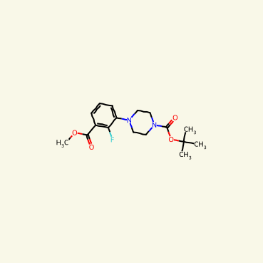 COC(=O)c1cccc(N2CCN(C(=O)OC(C)(C)C)CC2)c1F